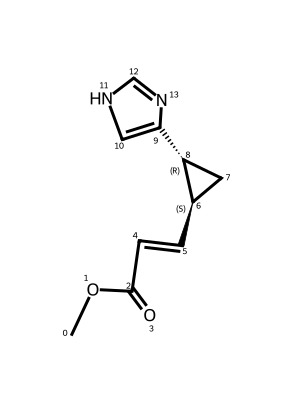 COC(=O)C=C[C@@H]1C[C@H]1c1c[nH]cn1